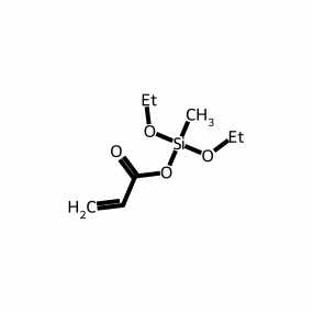 C=CC(=O)O[Si](C)(OCC)OCC